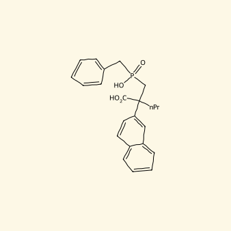 CCCC(CP(=O)(O)Cc1ccccc1)(C(=O)O)c1ccc2ccccc2c1